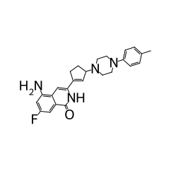 Cc1ccc(N2CCN(C3C=C(c4cc5c(N)cc(F)cc5c(=O)[nH]4)CC3)CC2)cc1